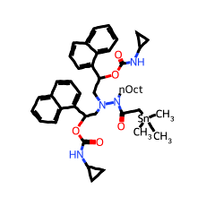 CCCCCCCCN(C(=O)[CH2][Sn]([CH3])([CH3])[CH3])N(CC(OC(=O)NC1CC1)c1cccc2ccccc12)CC(OC(=O)NC1CC1)c1cccc2ccccc12